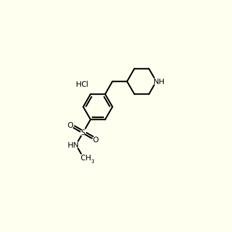 CNS(=O)(=O)c1ccc(CC2CCNCC2)cc1.Cl